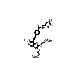 CCN(CC)CC(O)CNC(=O)c1ccc(C#Cc2c(N)ncc3nc(OCCOC)c(OCCOC)nc23)cc1